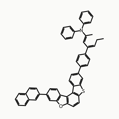 CC/C=C(\C=C(/C)N(c1ccccc1)c1ccccc1)c1ccc(-c2ccc3c(c2)sc2ccc4oc5cc(-c6ccc7ccccc7c6)ccc5c4c23)cc1